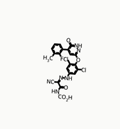 Cc1cccc(-c2cc(Oc3c(Cl)cc(NN=C(C#N)C(=O)NC(=O)O)cc3Cl)n[nH]c2=O)c1F